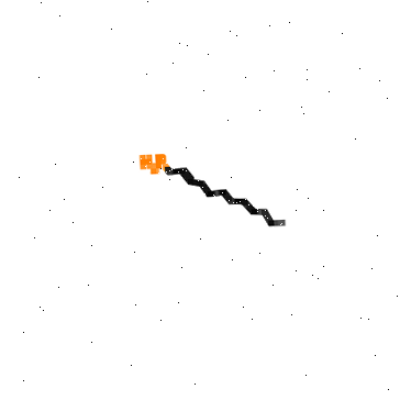 CCCCCCCCCC=CCP